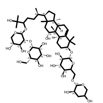 C[C@H](CCC(O[C@@H]1OC[C@@H](O)[C@H](O)[C@H]1O[C@H]1O[C@@H](CO)[C@H](O)[C@@H](O)[C@@H]1O)C(C)(C)O)[C@H]1CC[C@@]2(C)[C@@H]3CC=C4[C@@H](CC[C@H](O[C@@H]5OC(CO[C@@H]6OCC(O)C[C@H]6O)[C@@H](O)[C@H](O)[C@H]5O)C4(C)C)[C@]3(C)[C@H](O)CC12C